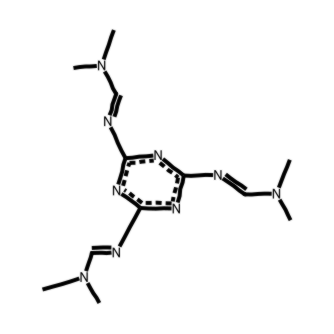 CN(C)C=Nc1nc(N=CN(C)C)nc(N=CN(C)C)n1